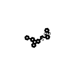 c1ccc(-c2ccc3c(c2)c2ccccc2c2ccc(-c4ccc(-c5cccc6c5Oc5ccccc5O6)s4)cc23)cc1